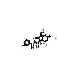 Cn1cc(C2=CN=C(Nc3cc(F)cc(F)c3)NC2(N)C2CCC(N)CC2)cn1